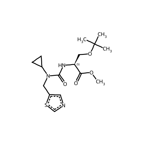 COC(=O)[C@H](COC(C)(C)C)NC(=O)N(Cc1cncs1)C1CC1